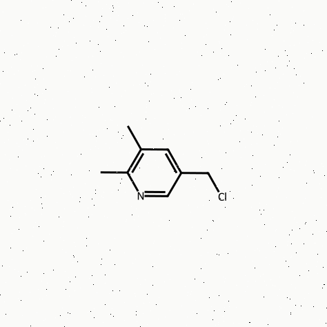 Cc1cc(CCl)cnc1C